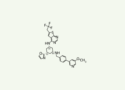 COc1cncc(-c2ccc(CN[C@H]3C[C@@H](Nc4ncnc5sc(CC(F)(F)F)cc45)C[C@@H](c4ncco4)C3)cc2)c1